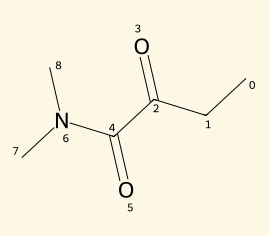 CCC(=O)C(=O)N(C)C